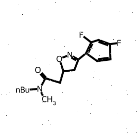 CCCCN(C)C(=O)CC1CC(c2ccc(F)cc2F)=NO1